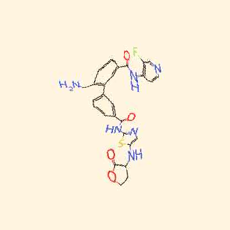 NCc1ccc(C(=O)Nc2ccncc2F)cc1-c1cccc(C(=O)Nc2ncc(NC3CCOC3=O)s2)c1